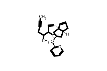 CC#CCC(C)C(O)/C=C\[C@]12C=CC[C@H]1C[C@@H](O[C@@H]1C=CC=CO1)C2